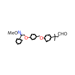 CO/N=C(/COc1ccc(COc2ccc(C(C)(C)CC=O)cc2)cc1)c1ccccc1